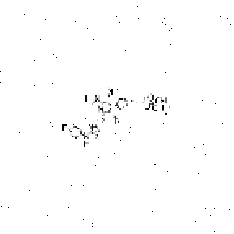 CC1(C)OC[C@@H](CCc2ccc(-c3c(C#N)c(N)nc(SCc4csc(Nc5ccc(F)cc5)n4)c3C#N)cc2)O1